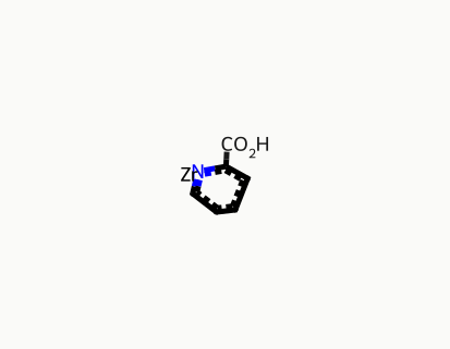 O=C(O)c1ccccn1.[Zr]